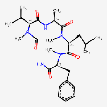 CC(C)C[C@@H](C(=O)N(C)[C@@H](Cc1ccccc1)C(N)=O)N(C)C(=O)[C@H](C)NC(=O)[C@H](C(C)C)N(C)C=O